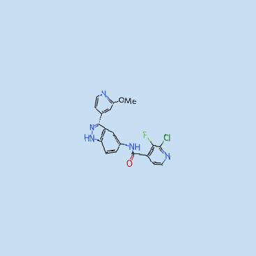 COc1cc(-c2n[nH]c3ccc(NC(=O)c4ccnc(Cl)c4F)cc23)ccn1